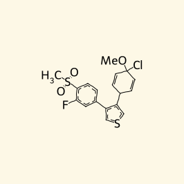 COC1(Cl)C=CC(c2cscc2-c2ccc(S(C)(=O)=O)c(F)c2)C=C1